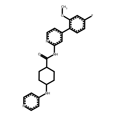 COc1cc(F)ccc1-c1ccnc(NC(=O)C2CCC(Nc3ccncc3)CC2)c1